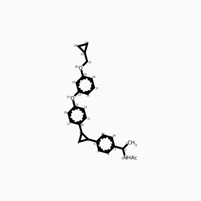 CC(=O)NC(C)c1ccc(C2CC2c2ccc(Oc3cccc(OCC4CC4)c3)cc2)cc1